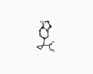 NC(=O)C1(c2ccc3[nH]ccc3c2)CC1